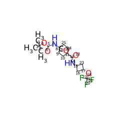 CC(C)(C)OC(=O)NC12CCC(C(=O)N[C@H]3C[C@@H](OC(F)(F)F)C3)(CC1)OC2